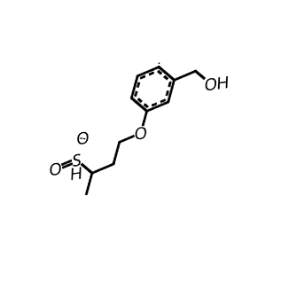 CC(CCOc1cc[c]c(CO)c1)[SH](=O)=O